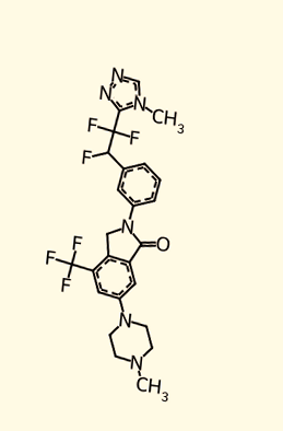 CN1CCN(c2cc3c(c(C(F)(F)F)c2)CN(c2cccc(C(F)C(F)(F)c4nncn4C)c2)C3=O)CC1